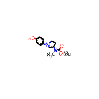 CN(C(=O)OC(C)(C)C)[C@@H]1CCN(c2ccc(O)cc2)C1